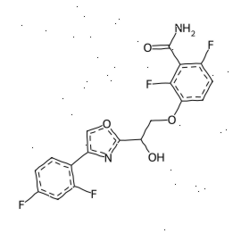 NC(=O)c1c(F)ccc(OCC(O)c2nc(-c3ccc(F)cc3F)co2)c1F